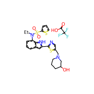 CCN(c1cccc2cc(-c3ncc(CN4CCCC(O)C4)s3)[nH]c12)S(=O)(=O)c1cccs1.O=C(O)C(F)(F)F